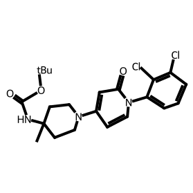 CC1(NC(=O)OC(C)(C)C)CCN(c2ccn(-c3cccc(Cl)c3Cl)c(=O)c2)CC1